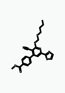 CCCCSCSc1nc(-c2nccs2)cc(-c2ccc(C(=O)OC)cc2)c1C#N